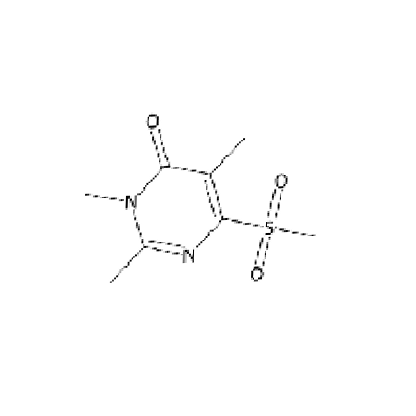 Cc1c(S(C)(=O)=O)nc(C)n(C)c1=O